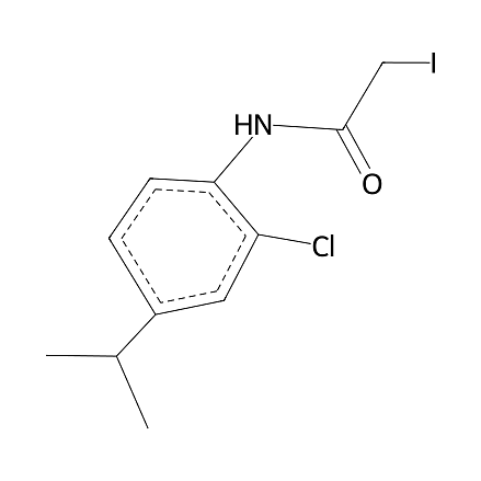 CC(C)c1ccc(NC(=O)CI)c(Cl)c1